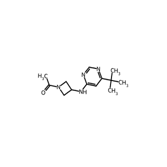 CC(=O)N1CC(Nc2cc(C(C)(C)C)ncn2)C1